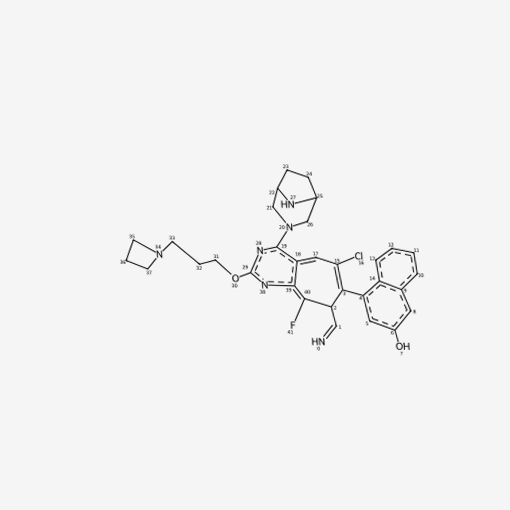 N=CC1C(c2cc(O)cc3ccccc23)=C(Cl)C=c2c(N3CC4CCC(C3)N4)nc(OCCCN3CCC3)nc2=C1F